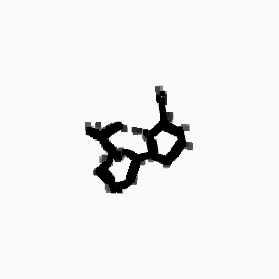 CC(C)n1cncc1-c1ccnc(Cl)n1